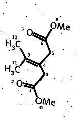 COC(=O)CC(CC(=O)OC)=C(C)C